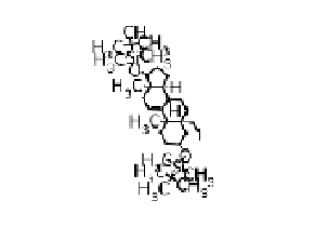 CC(C)(C)[Si](C)(C)O[C@H]1CC[C@]2(C)C3=CC[C@]4(C)[C@@H](O[Si](C)(C)C(C)(C)C)CC[C@H]4[C@@H]3CC[C@]2(CI)C1